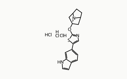 CN1C2CCC1CC(Oc1ncc(-c3ccc4cc[nH]c4c3)s1)C2.Cl.Cl.Cl